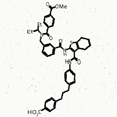 CCC(CC)N(Cc1cccc(C(=O)Nc2sc3c(c2C(=O)Nc2ccc(CCCc4ccc(C(=O)O)cc4)cc2)CCCC3)c1)C(=O)c1ccc(C(=O)OC)cc1